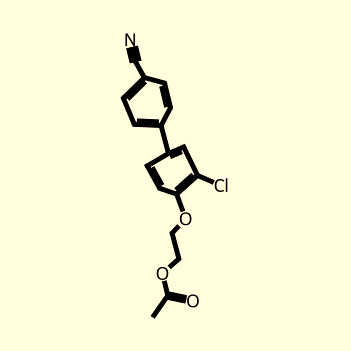 CC(=O)OCCOc1ccc(-c2ccc(C#N)cc2)cc1Cl